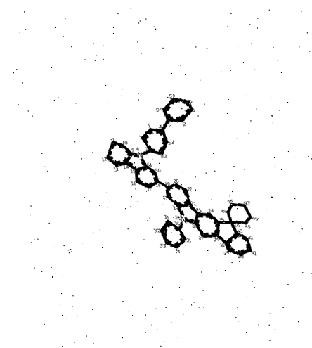 c1ccc(-c2ccc(-n3c4ccccc4c4ccc(-c5ccc6c7cc8c(cc7n(-c7ccccc7)c6c5)-c5ccccc5C85CCCCC5)cc43)cc2)cc1